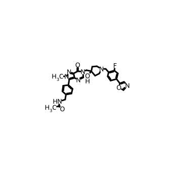 CC(=O)NCc1ccc(-c2c3ncn(CC4(O)CCN(Cc5ccc(-c6cnco6)cc5F)CC4)c(=O)c3nn2C)cc1